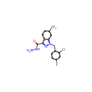 NNC(=O)c1nn(Cc2ccc(F)cc2Cl)c2cc(C(F)(F)F)ccc12